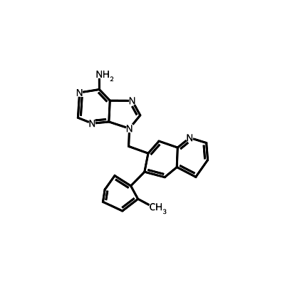 Cc1ccccc1-c1cc2cccnc2cc1Cn1cnc2c(N)ncnc21